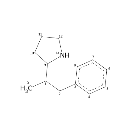 CC(Cc1ccccc1)C1CCCN1